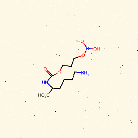 NCCCCC(NC(=O)OCCCON(O)O)C(=O)O